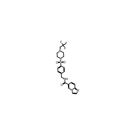 O=C(NCc1ccc(S(=O)(=O)N2CCN(CC(F)(F)F)CC2)cc1)c1ccc2nccn2c1